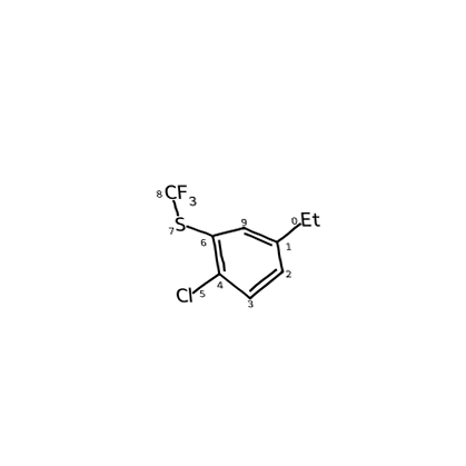 CCc1ccc(Cl)c(SC(F)(F)F)c1